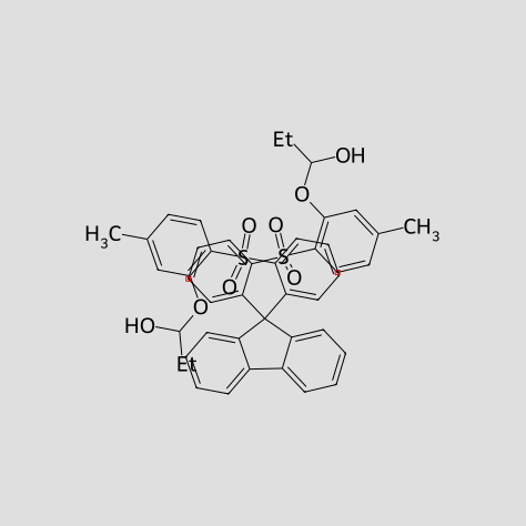 CCC(O)Oc1cc(C)ccc1S(=O)(=O)c1ccccc1C1(c2ccccc2S(=O)(=O)c2ccc(C)cc2OC(O)CC)c2ccccc2-c2ccccc21